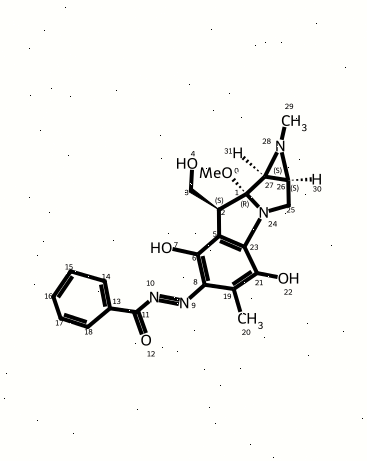 CO[C@@]12[C@H](CO)c3c(O)c(N=NC(=O)c4ccccc4)c(C)c(O)c3N1C[C@H]1[C@@H]2N1C